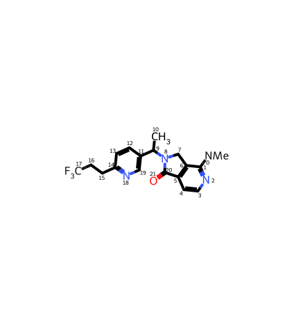 CNc1nccc2c1CN(C(C)c1ccc(CCC(F)(F)F)nc1)C2=O